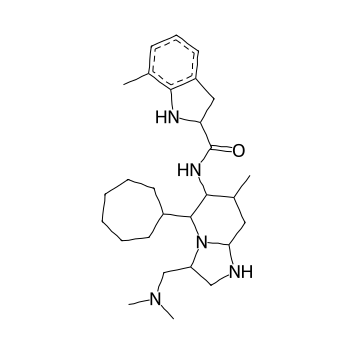 Cc1cccc2c1NC(C(=O)NC1C(C)CC3NCC(CN(C)C)N3C1C1CCCCCC1)C2